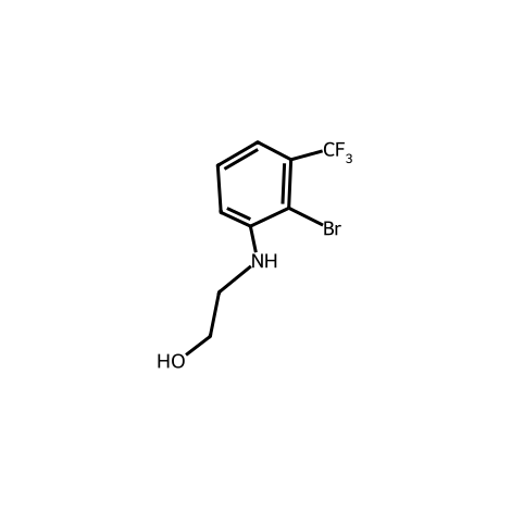 OCCNc1cccc(C(F)(F)F)c1Br